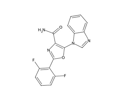 NC(=O)c1nc(-c2c(F)cccc2F)oc1-n1cnc2ccccc21